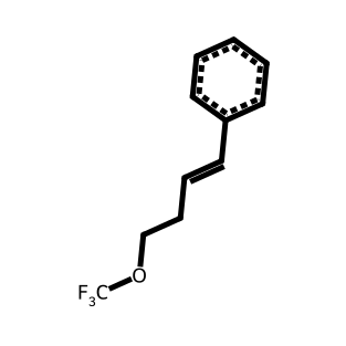 FC(F)(F)OCCC=Cc1ccccc1